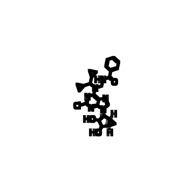 O=C(NCN(c1nc(Cl)nc2c1ncn2[C@H]1C(O)C(O)[C@@H]2C[C@@H]21)C(C1CC1)C1CC1)c1ccccc1